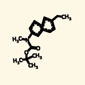 CCc1ccc2cc(N(C)C(=O)OC(C)(C)C)ccc2c1